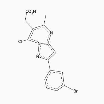 Cc1nc2cc(-c3cccc(Br)c3)nn2c(Cl)c1CC(=O)O